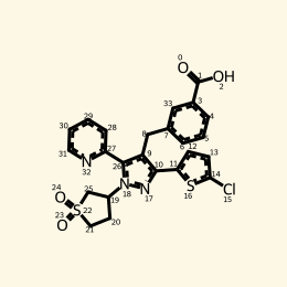 O=C(O)c1cccc(Cc2c(-c3ccc(Cl)s3)nn(C3CCS(=O)(=O)C3)c2-c2ccccn2)c1